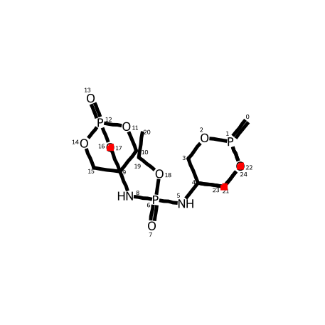 C=P12OCC(NP(=O)(NC34COP(=O)(OC3)OC4)OCC)(CO1)CO2